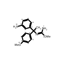 CO/C(N)=N/C(C)(c1ccc(OC)cc1)c1cccc(N)c1